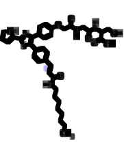 CCCCCCCCNC(=O)/C=C/c1ccc(-c2sc(-c3ccc[nH]3)nc2-c2ccc(OCC(=O)NCC(=O)NC(CO)C(=O)O)cc2)cc1